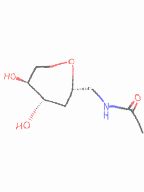 CC(=O)NC[C@@H]1C[C@H](O)[C@@H](O)CO1